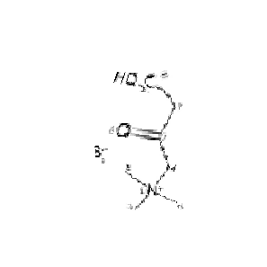 C[N+](C)(C)CC(=O)CC(=O)O.[Br-]